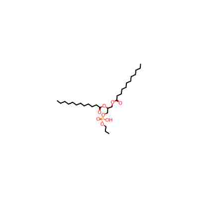 CCCCCCCCCCCC(=O)OCC(COP(=O)(O)OCCC)OC(=O)CCCCCCCCCCC